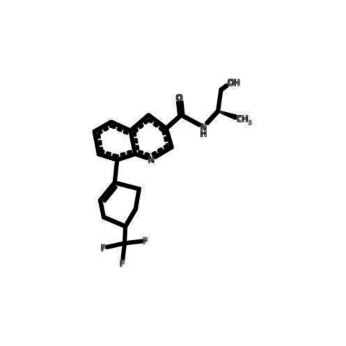 C[C@H](CO)NC(=O)c1cnc2c(C3=CCC(C(F)(F)F)CC3)cccc2c1